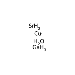 O.[Cu].[GaH3].[SrH2]